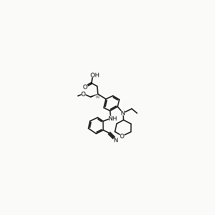 CCN(c1ccc([C@@H](COC)CC(=O)O)cc1Nc1ccccc1C#N)C1CCOCC1